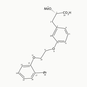 CO[C@@H](Cc1cccc(OCCOc2ccccc2C(C)C)c1)C(=O)O